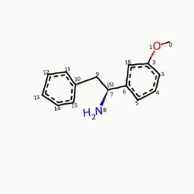 COc1cccc([C@@H](N)Cc2ccccc2)c1